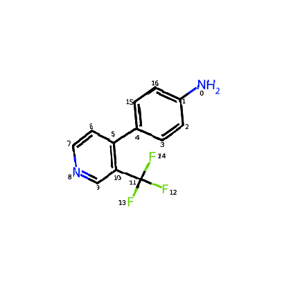 Nc1ccc(-c2ccncc2C(F)(F)F)cc1